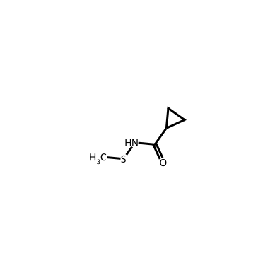 CSNC(=O)C1CC1